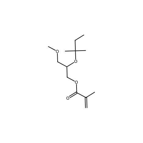 C=C(C)C(=O)OCC(COC)OC(C)(C)CC